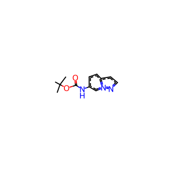 CC(C)(C)OC(=O)Nc1ccc2ccnn2c1